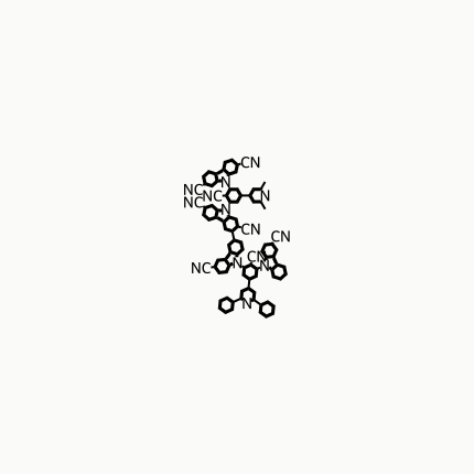 Cc1cc(-c2cc(-n3c4cc(C#N)ccc4c4ccc(C#N)cc43)c(C#N)c(-n3c4cc(C#N)ccc4c4cc(-c5ccc6c(c5)c5cc(C#N)ccc5n6-c5cc(-c6cc(-c7ccccc7)nc(-c7ccccc7)c6)cc(-n6c7ccccc7c7cc(C#N)ccc76)c5C#N)c(C#N)cc43)c2)cc(C)n1